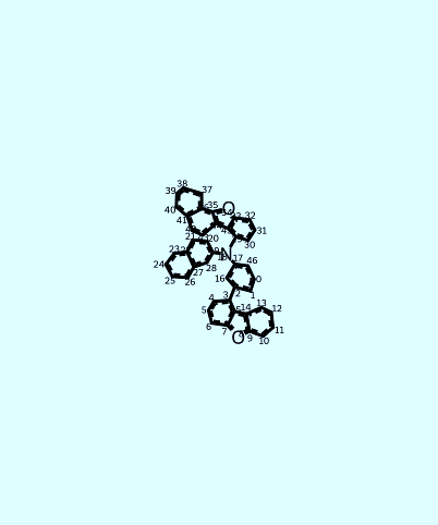 c1cc(-c2cccc3oc4ccccc4c23)cc(N(c2ccc3ccccc3c2)c2cccc3oc4c5ccccc5ccc4c23)c1